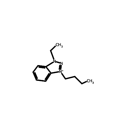 CCCC[n+]1nn(CC)c2ccccc21